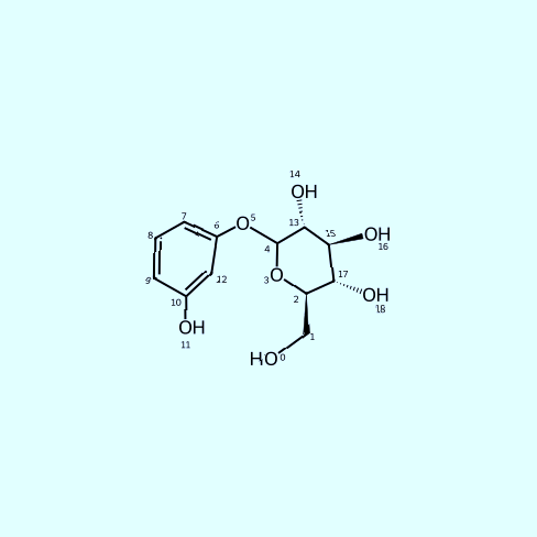 OC[C@H]1OC(Oc2c[c]cc(O)c2)[C@H](O)[C@@H](O)[C@@H]1O